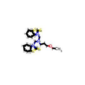 CCOCCCN(Cn1c(=S)sc2ccccc21)Cn1c(=S)sc2ccccc21